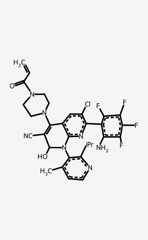 C=CC(=O)N1CCN(C2=C(C#N)C(O)N(c3c(C)ccnc3C(C)C)c3nc(-c4c(N)c(F)c(F)c(F)c4F)c(Cl)cc32)CC1